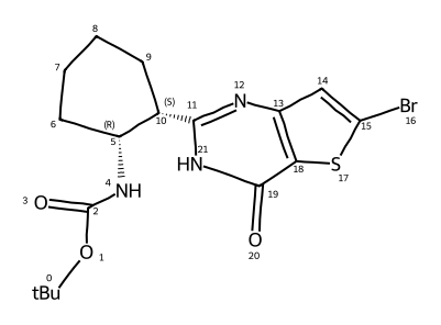 CC(C)(C)OC(=O)N[C@@H]1CCCC[C@@H]1c1nc2cc(Br)sc2c(=O)[nH]1